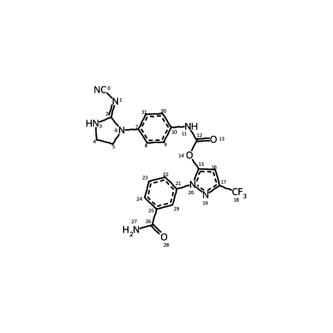 N#CN=C1NCCN1c1ccc(NC(=O)Oc2cc(C(F)(F)F)nn2-c2cccc(C(N)=O)c2)cc1